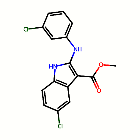 COC(=O)c1c(Nc2cccc(Cl)c2)[nH]c2ccc(Cl)cc12